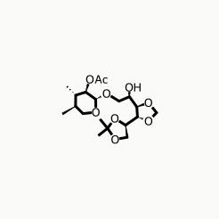 CC(=O)O[C@H]1[C@H](OC[C@@H](O)[C@H]2OCO[C@@H]2[C@H]2COC(C)(C)O2)OC[C@@H](C)[C@@H]1C